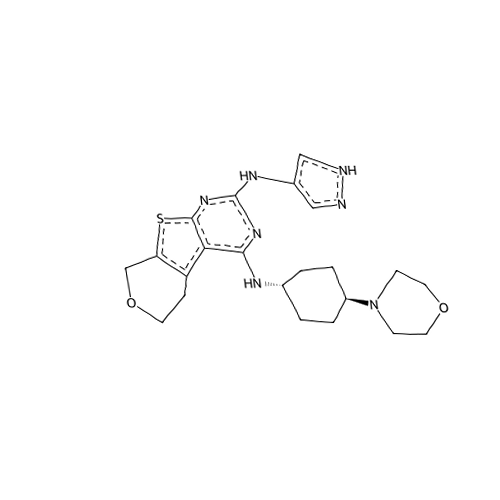 c1n[nH]cc1Nc1nc(N[C@H]2CC[C@H](N3CCOCC3)CC2)c2c3c(sc2n1)COCC3